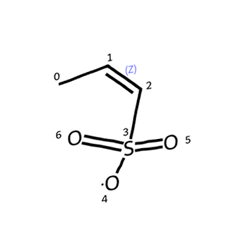 C/C=C\S([O])(=O)=O